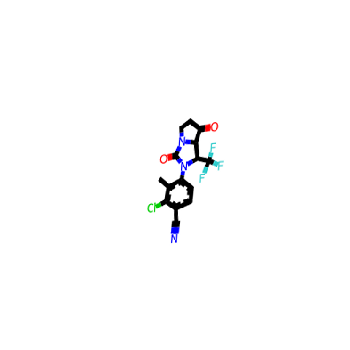 Cc1c(N2C(=O)N3CCC(=O)C3C2C(F)(F)F)ccc(C#N)c1Cl